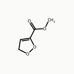 COC(=O)C1=CCOO1